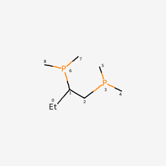 CCC(CP(C)C)P(C)C